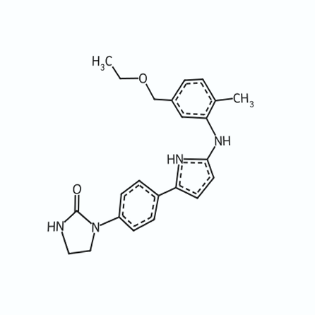 CCOCc1ccc(C)c(Nc2ccc(-c3ccc(N4CCNC4=O)cc3)[nH]2)c1